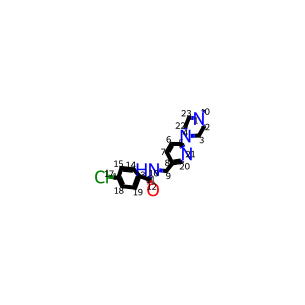 CN1CCN(c2ccc(CNC(=O)c3ccc(Cl)cc3)cn2)CC1